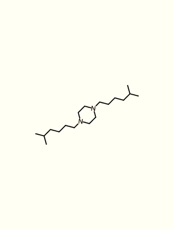 CC(C)CCCCN1CCN(CCCCC(C)C)CC1